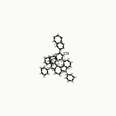 N#Cc1c(-c2ccc3ccccc3c2)nc(-c2ccccc2)nc1-c1cccc2c1c1c3c4ccccc4n(-c4ccccc4)c3ccc1n2-c1ccccc1